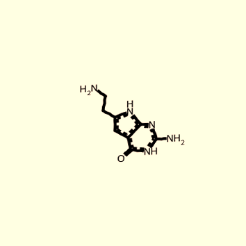 NCCc1cc2c(=O)[nH]c(N)nc2[nH]1